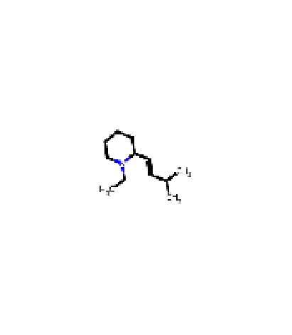 CCN1CCCCC1/C=C/C(C)C